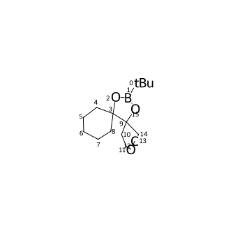 CC(C)(C)B1OC2(CCCCC2)C2(CCOCC2)O1